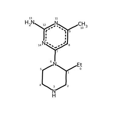 CCC1CNCCN1c1cc(C)nc(N)n1